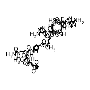 CC(C)[C@H](NC(=O)CCN1C(=O)C=CC1=O)C(=O)N[C@@H](CCCNC(N)=O)C(=O)Nc1ccc(COC(=O)N(C)CCCC(=O)O[C@H]2C(n3cnc4c(N)ncnc43)O[C@@H]3CO[P@@](=O)(S)O[C@H]4[C@@H](F)[C@H](n5cnc6c(N)ncnc65)O[C@@H]4CO[P@@](=O)(S)O[C@H]32)cc1